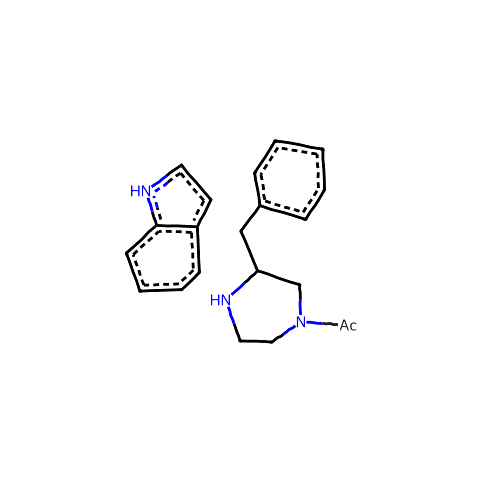 CC(=O)N1CCNC(Cc2ccccc2)C1.c1ccc2[nH]ccc2c1